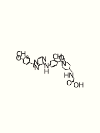 COc1ccc(-c2cnc3c(Nc4ccc(C(=O)N5CCC(CNCC(=O)O)CC5)c(C)c4)nccn23)cc1